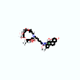 CC[C@H]1OC(=O)[C@H](C)[C@@H](O)[C@H](C)[C@@H](O)[C@]2(O)C[C@H](CN(CCCCCCNC(=O)[C@H]3[C@H](C)CC4C5CCC6=CC(=O)C=C[C@]6(C)[C@@]5(F)[C@@H](O)C[C@@]43C)[C@H](C)[C@@H](O)[C@]1(C)O)C2